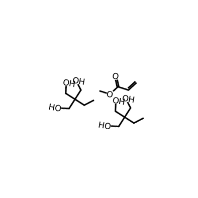 C=CC(=O)OC.CCC(CO)(CO)CO.CCC(CO)(CO)CO